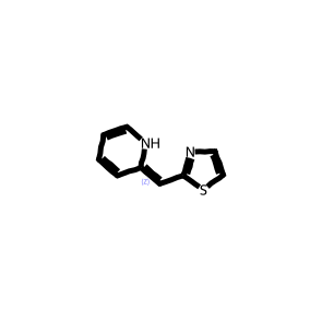 C1=CN/C(=C\c2nccs2)C=C1